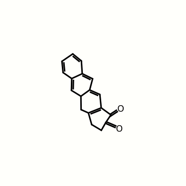 O=C1CCC2=C(C=C3C=c4ccccc4=CC3C2)C1=O